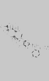 COc1ccccc1Nc1nc2c(s1)C1=CC[C@H]3[C@@H]4CC[C@H](O)[C@@]4(C)CC[C@@H]3[C@@]1(C)CC2